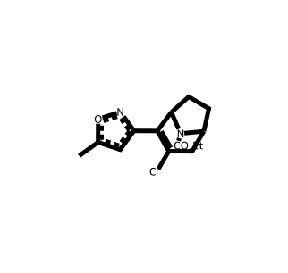 CCOC(=O)N1C2CCC1C(c1cc(C)on1)=C(Cl)C2